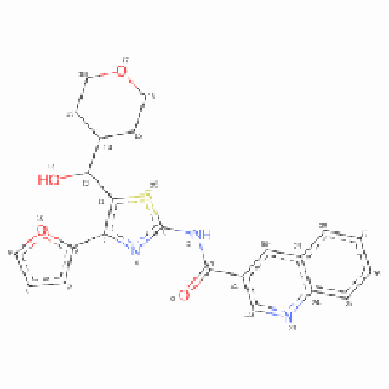 O=C(Nc1nc(-c2ccco2)c(C(O)C2CCOCC2)s1)c1cnc2ccccc2c1